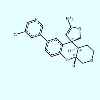 NC1=N[C@@]2(CO1)c1cc(-c3cncc(Cl)c3)ccc1O[C@H]1COCC[C@@H]12